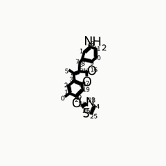 Cc1cc2c(C)c(Cc3cccc(N)c3)c(=O)oc2cc1Oc1nccs1